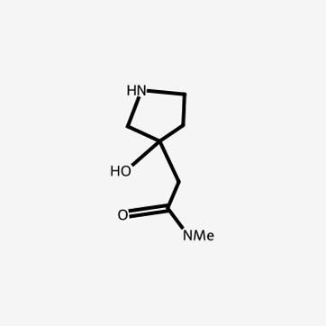 CNC(=O)CC1(O)CCNC1